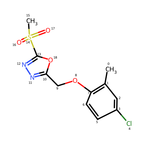 Cc1cc(Cl)ccc1OCc1nnc(S(C)(=O)=O)o1